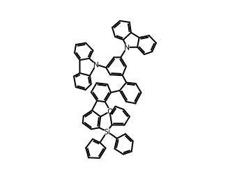 c1ccc([Si](c2ccccc2)(c2ccccc2)c2cccc3c2oc2c(-c4ccccc4-c4cc(-n5c6ccccc6c6ccccc65)cc(-n5c6ccccc6c6ccccc65)c4)cccc23)cc1